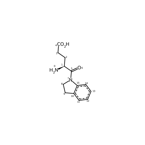 N[C@@H](CCC(=O)O)C(=O)N1CCc2ccccc21